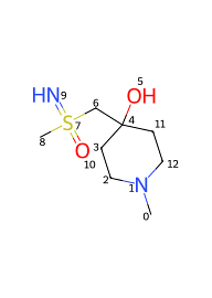 CN1CCC(O)(CS(C)(=N)=O)CC1